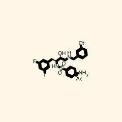 CCc1cccc(CNC[C@@H](O)[C@H](Cc2cc(F)cc(F)c2)NS(=O)(=O)C2=CCC(N)(C(C)=O)C=C2)c1